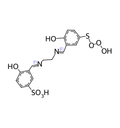 O=S(=O)(O)c1ccc(O)c(/C=N/CC/N=C/c2cc(SOOO)ccc2O)c1